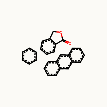 O=C1OCc2ccccc21.c1ccc2cc3ccccc3cc2c1.c1ccccc1